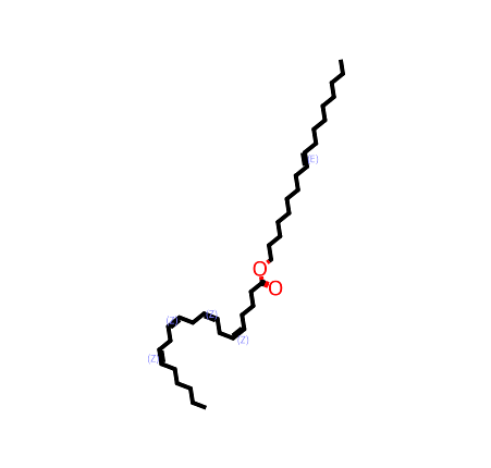 CCCCC/C=C\C/C=C\C/C=C\C/C=C\CCCC(=O)OCCCCCCCC/C=C/CCCCCCCC